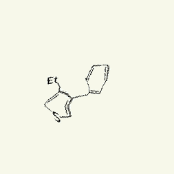 CCc1cscc1-c1ccccc1